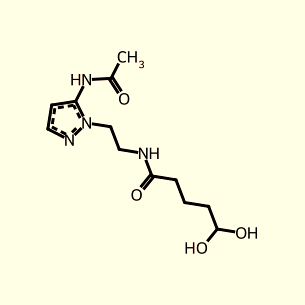 CC(=O)Nc1ccnn1CCNC(=O)CCCC(O)O